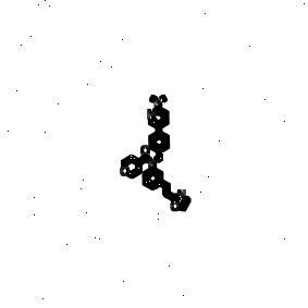 CN(C)c1ccc(-c2ccc(CN(C(=O)C3CCOCC3)c3cccc(C=Cc4ncco4)c3)cc2)cn1